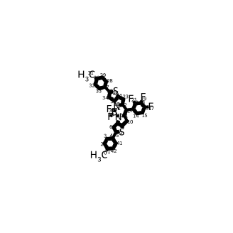 Cc1ccc(-c2cc3c(s2)=CC2=C(c4ccc(F)c(F)c4F)c4cc5sc(-c6ccc(C)cc6)cc5n4[B-](F)(F)[N+]=32)cc1